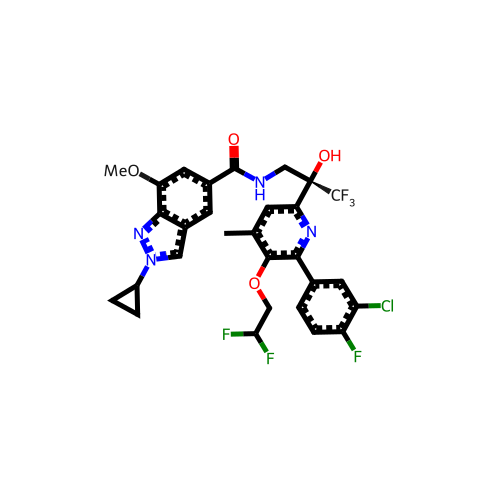 COc1cc(C(=O)NC[C@](O)(c2cc(C)c(OCC(F)F)c(-c3ccc(F)c(Cl)c3)n2)C(F)(F)F)cc2cn(C3CC3)nc12